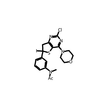 CC(=O)N(C)c1cccc(C2(I)Cc3nc(Cl)nc(N4CCOCC4)c3S2)c1